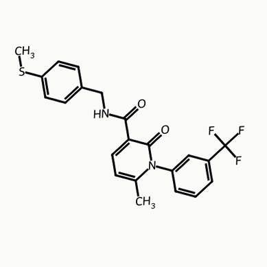 CSc1ccc(CNC(=O)c2ccc(C)n(-c3cccc(C(F)(F)F)c3)c2=O)cc1